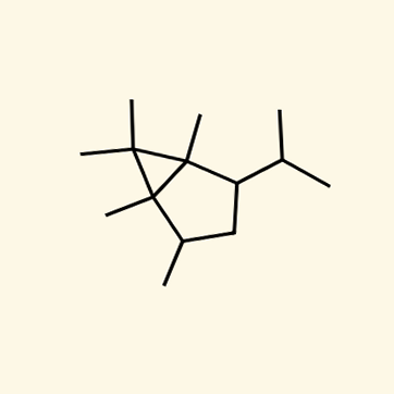 CC(C)C1CC(C)C2(C)C(C)(C)C12C